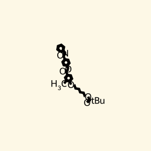 Cc1cc(C(=O)Oc2ccc(-c3nc4ccccc4o3)cc2)ccc1OCCCCCCOC(=O)C(C)(C)C